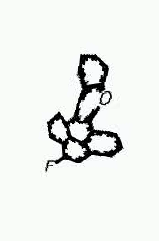 Fc1cc2cccc3c4oc5ccccc5c4c4cccc1c4c23